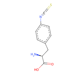 N[C@@H](Cc1ccc(N=C=S)cc1)C(=O)O